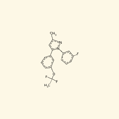 Cc1cc(-c2cccc(OC(C)(F)F)c2)n(-c2cccc(F)c2)n1